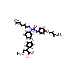 CCCCCCCN(C(=O)Nc1ccc(OCCCC)cc1)c1cccc(Sc2ccc(C(CC)C(=O)O)cc2)c1